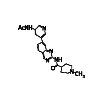 CC(=O)Nc1cncc(-c2ccc3cnc(NC(=O)C4CCN(C)CC4)nc3c2)c1